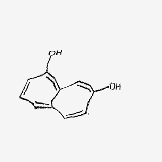 Oc1[c]cc2cccc(O)c2c1